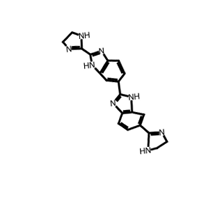 c1cc2nc(-c3ccc4nc(C5=NCCN5)[nH]c4c3)[nH]c2cc1C1=NCCN1